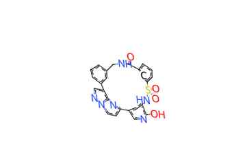 O=C1NCc2cccc(c2)-c2cnn3ccc(nc23)-c2cnc(O)c(c2)NS(=O)(=O)c2cccc1c2